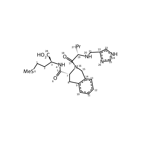 CSCC[C@H](NC(=O)[C@H]1Cc2ccccc2CN1C(=O)[C@@H](NCc1c[nH]cn1)C(C)C)C(=O)O